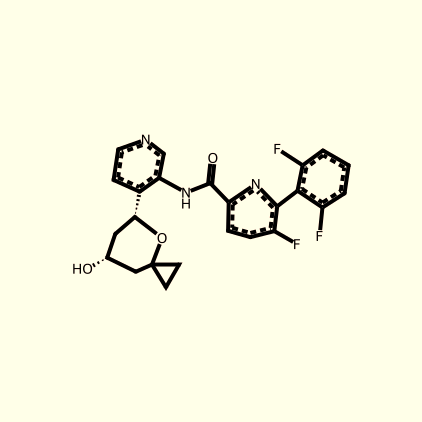 O=C(Nc1cnccc1[C@H]1C[C@@H](O)CC2(CC2)O1)c1ccc(F)c(-c2c(F)cccc2F)n1